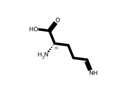 N=CCC[C@H](N)C(=O)O